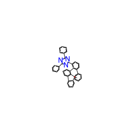 CC1(C)c2ccccc2-c2cccc(-c3c(-c4ccccc4)cccc3-c3nc(-c4ccccc4)nc(-c4ccccc4)n3)c21